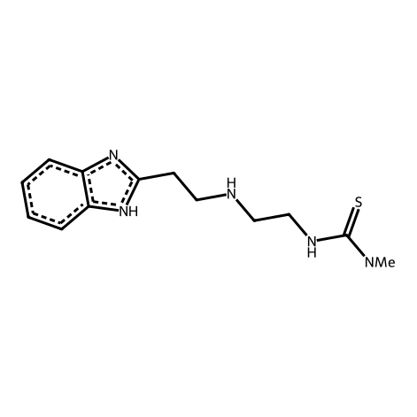 CNC(=S)NCCNCCc1nc2ccccc2[nH]1